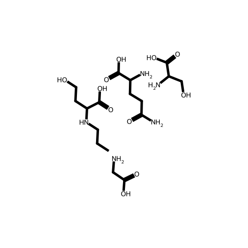 CCCNC(CCO)C(=O)O.NC(=O)CCC(N)C(=O)O.NC(CO)C(=O)O.NCC(=O)O